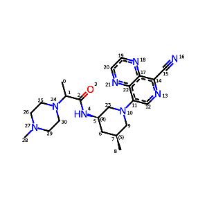 CC(C(=O)N[C@@H]1C[C@H](C)CN(c2cnc(C#N)c3nccnc23)C1)N1CCN(C)CC1